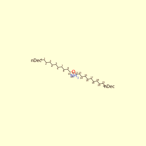 CCCCCCCCCCCCCCCCCCCCOCCCCCCCCCCCCCCCCCCCC.N